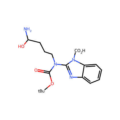 CC(C)(C)OC(=O)N(CCCC(N)O)c1nc2ccccc2n1C(=O)O